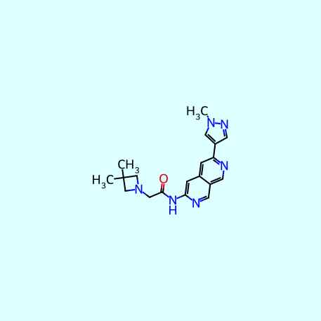 Cn1cc(-c2cc3cc(NC(=O)CN4CC(C)(C)C4)ncc3cn2)cn1